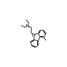 CCN(CC)CCn1c2ccccc2c2c(C)cccc21